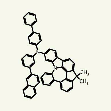 CC1(C)c2cccc3c2-c2c1ccc1c4ccc(N(c5ccc(-c6ccccc6)cc5)c5cccc(-c6ccc7ccccc7c6)c5)cc4n(c21)-c1ccccc1-3